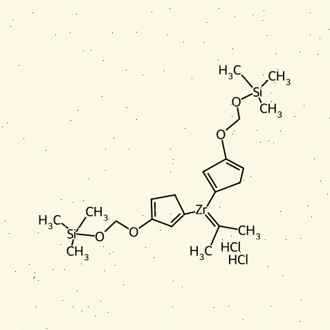 C[C](C)=[Zr]([C]1=CC(OCO[Si](C)(C)C)=CC1)[C]1=CC(OCO[Si](C)(C)C)=CC1.Cl.Cl